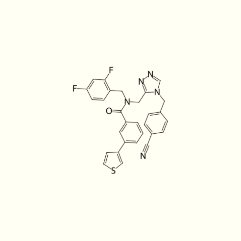 N#Cc1ccc(Cn2cnnc2CN(Cc2ccc(F)cc2F)C(=O)c2cccc(-c3ccsc3)c2)cc1